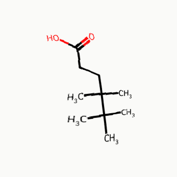 CC(C)(C)C(C)(C)CCC(=O)O